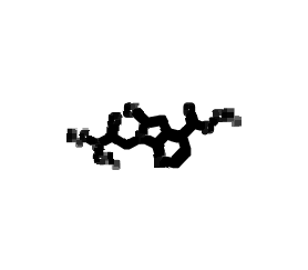 COC(=O)c1ccnc2c1cc(Cl)n2CC(=O)N(C)C